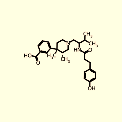 CC(C)C(CN1CC[C@@](C)(c2cccc(C(=O)O)c2)[C@@H](C)C1)NC(=O)CCc1ccc(O)cc1